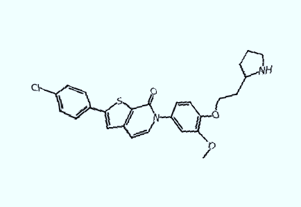 COc1cc(-n2ccc3cc(-c4ccc(Cl)cc4)sc3c2=O)ccc1OCCC1CCCN1